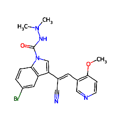 COc1ccncc1C=C(C#N)c1cn(C(=O)NN(C)C)c2ccc(Br)cc12